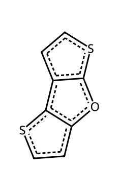 c1cc2c(oc3ccsc32)s1